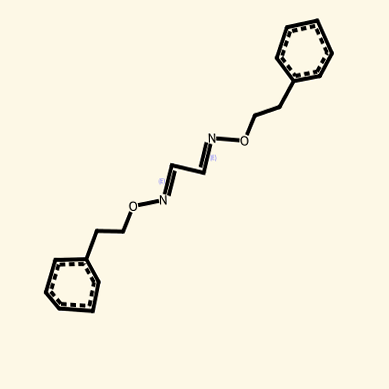 C(/C=N/OCCc1ccccc1)=N\OCCc1ccccc1